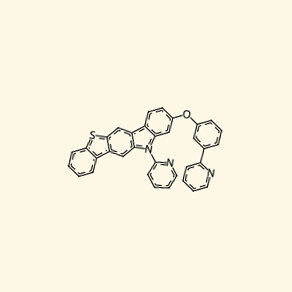 c1ccc(-c2cccc(Oc3ccc4c5cc6sc7ccccc7c6cc5n(-c5ccccn5)c4c3)c2)nc1